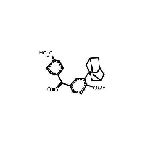 COc1ccc(C(=S=O)c2ccc(C(=O)O)cc2)cc1C12CC3CC(CC(C3)C1)C2